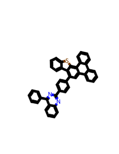 c1ccc(-c2nc(-c3ccc(-c4cc5c6ccccc6c6ccccc6c5c5sc6ccccc6c45)cc3)nc3ccccc23)cc1